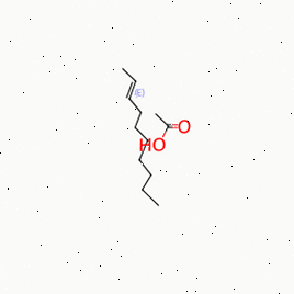 C/C=C/CCCCCCC.CC(=O)O